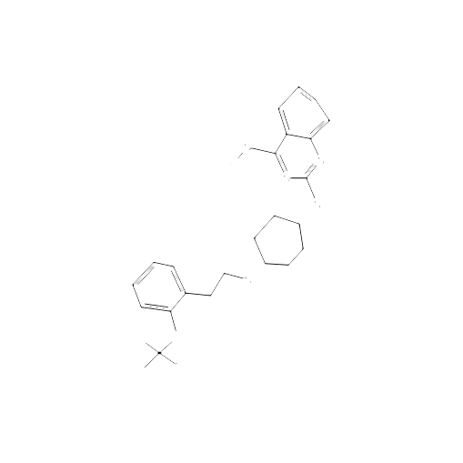 CNc1nc(N[C@H]2CC[C@@H](NCCc3ccccc3OC(F)(F)F)CC2)nc2ccccc12.Cl.Cl